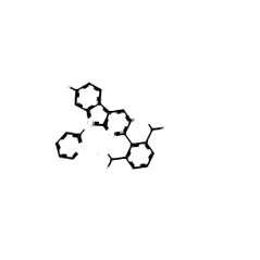 CC(C)c1cccc(C(C)C)c1-c1ccc2c3ccc(O)cc3n(-c3ccccn3)c2n1